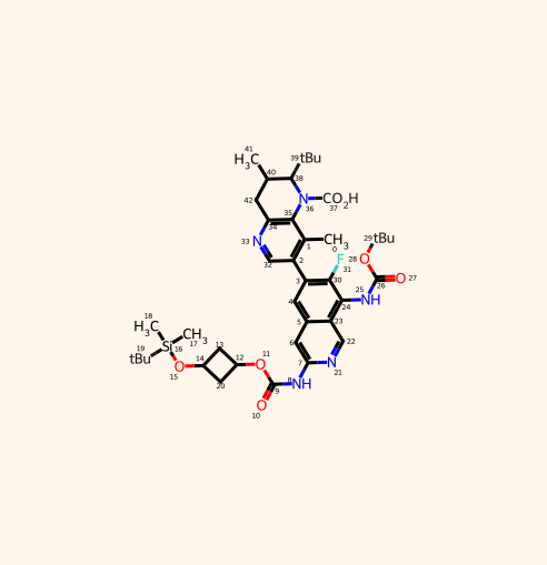 Cc1c(-c2cc3cc(NC(=O)OC4CC(O[Si](C)(C)C(C)(C)C)C4)ncc3c(NC(=O)OC(C)(C)C)c2F)cnc2c1N(C(=O)O)C(C(C)(C)C)C(C)C2